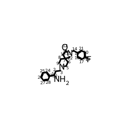 N[C@@H](CCN1CCC2(CC1)CC(=O)N(Cc1ccc(F)cc1)C2)c1ccccc1